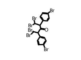 O=C(C(c1ccc(Br)cc1)C(Br)Br)C(c1ccc(Br)cc1)C(Br)Br